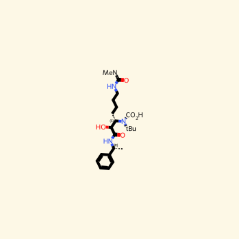 CNC(=O)NCCCC[C@@H](C(O)C(=O)N[C@H](C)c1ccccc1)N(C(=O)O)C(C)(C)C